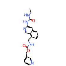 CCNC(=O)Nc1cc2cccc(CNC(=O)OCc3cccnc3)c2cn1